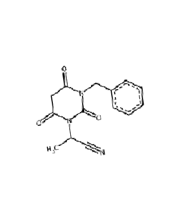 CC(C#N)N1C(=O)CC(=O)N(Cc2ccccc2)C1=O